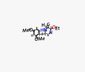 CCOC1=NCC(Cc2ccc(OC)cc2OC)NC1C